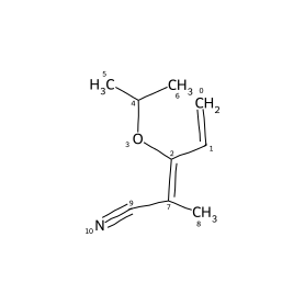 C=C/C(OC(C)C)=C(\C)C#N